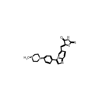 CN1CCN(c2ccc(-c3cnc4ccc(/C=C5\SC(=S)NC5=O)cn34)cc2)CC1